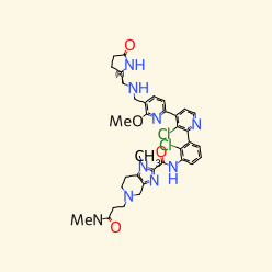 CNC(=O)CCN1CCc2c(nc(C(=O)Nc3cccc(-c4nccc(-c5ccc(CNC[C@H]6CCC(=O)N6)c(OC)n5)c4Cl)c3Cl)n2C)C1